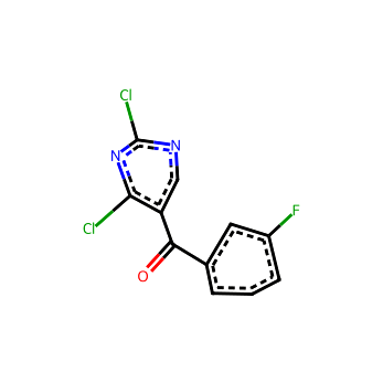 O=C(c1cccc(F)c1)c1cnc(Cl)nc1Cl